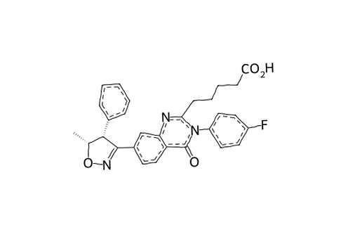 C[C@H]1ON=C(c2ccc3c(=O)n(-c4ccc(F)cc4)c(CCCCC(=O)O)nc3c2)[C@H]1c1ccccc1